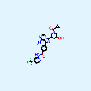 Nc1nccn2c(C3CC(O)CN(C(=O)C4CC4)C3)nc(-c3ccc(C(=O)Nc4cc(C(F)(F)F)ccn4)cc3)c12